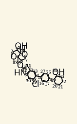 O[C@@H]1CO[C@H]2[C@@H]1OC[C@H]2Oc1nc2cc(-c3ccc([C@H]4CCCC[C@@H]4O)cc3)c(Cl)cc2[nH]1